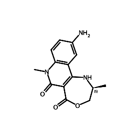 C[C@H]1COC(=O)c2c(c3cc(N)ccc3n(C)c2=O)N1